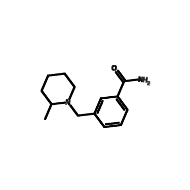 CC1CCCCN1Cc1cccc(C(N)=O)c1